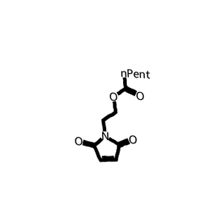 CCCCCC(=O)OCCN1C(=O)C=CC1=O